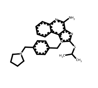 CC(C)Sc1nc2c(N)nc3ccccc3c2n1Cc1ccc(CN2CCCC2)cc1